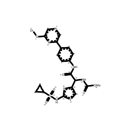 CCOc1cncc(-c2ccc(NC(=O)C(NC(=O)OC)c3csc(NS(=O)(=O)C4CC4)n3)cc2)n1